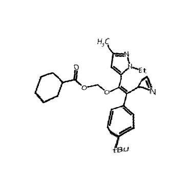 CCn1nc(C)cc1/C(OCOC(=O)C1CCCCC1)=C(/c1ccc(C(C)(C)C)cc1)C1C=N1